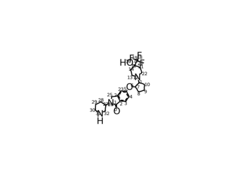 O=C1c2ccc(OC3CCCC3N3CCC(O)(C(F)(F)F)CC3)cc2CN1C1CCCNC1